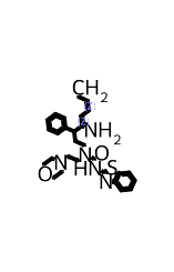 C=C/C=C\C=C(/N)C(CCN(CCN1CCOCC1)C(=O)Nc1nc2ccccc2s1)c1ccccc1